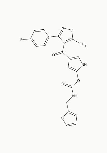 Cc1onc(-c2ccc(F)cc2)c1C(=O)c1c[nH]c(OC(=O)NCc2ccco2)c1